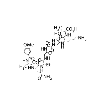 CC[C@H](NC(=O)CNC(=O)[C@H](CC)NC(=O)[C@H](CCC(N)=O)NC(=O)[C@H](C)NC(=O)c1ccc(OC)cc1)C(=O)NCC(=O)N[C@@H](CCCCN)C(=O)NC(C(=O)O)[C@@H](C)O